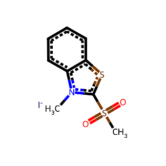 C[n+]1c(S(C)(=O)=O)sc2ccccc21.[I-]